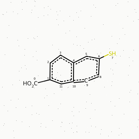 O=C(O)c1ccc2cc(S)ccc2c1